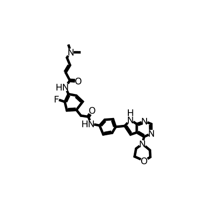 CN(C)C/C=C/C(=O)Nc1ccc(CC(=O)Nc2ccc(-c3cc4c(N5CCOCC5)ncnc4[nH]3)cc2)cc1F